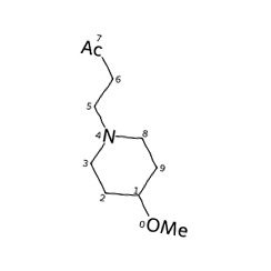 COC1CCN(CCC(C)=O)CC1